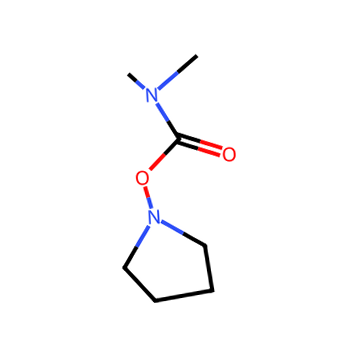 CN(C)C(=O)ON1CCCC1